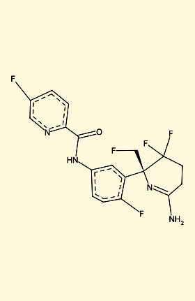 NC1=N[C@](CF)(c2cc(NC(=O)c3ccc(F)cn3)ccc2F)C(F)(F)CC1